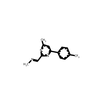 C/N=C/c1nc(C)cc(-c2ccc(C(F)(F)F)cc2)n1